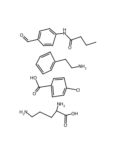 CCCC(=O)Nc1ccc(C=O)cc1.NCCCC(N)C(=O)O.NCCc1ccccc1.O=C(O)c1ccc(Cl)cc1